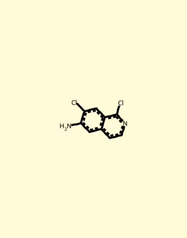 Nc1cc2ccnc(Cl)c2cc1Cl